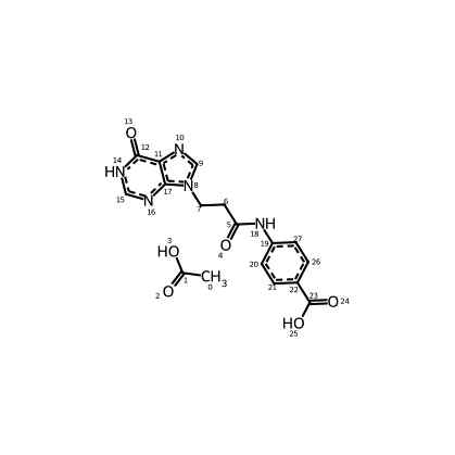 CC(=O)O.O=C(CCn1cnc2c(=O)[nH]cnc21)Nc1ccc(C(=O)O)cc1